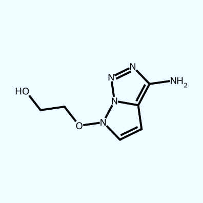 Nc1nnn2c1ccn2OCCO